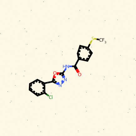 O=C(Nc1nnc(-c2ccccc2Cl)o1)c1ccc(SC(F)(F)F)cc1